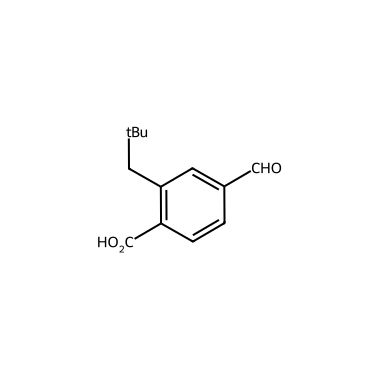 CC(C)(C)Cc1cc(C=O)ccc1C(=O)O